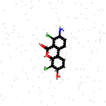 Nc1ccc2c(c1Cl)c(=O)oc1c(Cl)c(O)ccc12